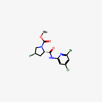 CC(C)(C)OC(=O)N1C[C@H](F)C[C@H]1C(=O)Nc1cc(Cl)cc(Br)n1